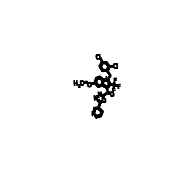 CCOc1ccc2c(c1)c(C(=O)c1nnc(-c3cccnc3)o1)c(C(F)(F)F)n2Cc1ccc(Cl)cc1Cl